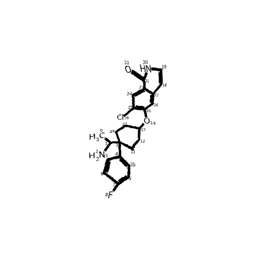 CC(N)C1(c2ccc(F)cc2)CCC(Oc2cc3cc[nH]c(=O)c3cc2Cl)CC1